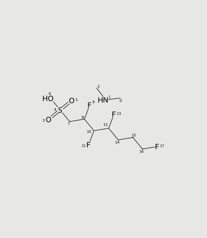 CNC.O=S(=O)(O)CC(F)C(F)C(F)CCCF